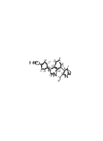 CCc1nocc1-c1cccc2c1ncn2-c1ccc(O)cc1